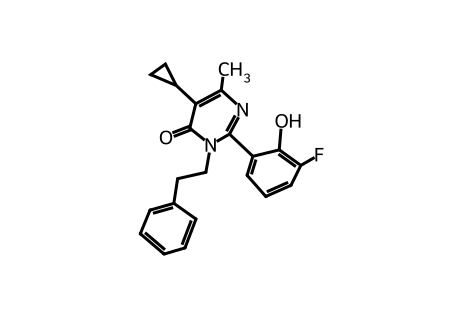 Cc1nc(-c2cccc(F)c2O)n(CCc2ccccc2)c(=O)c1C1CC1